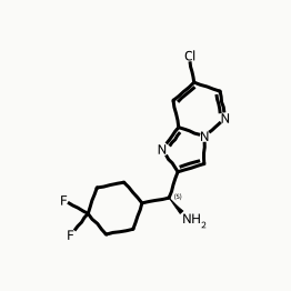 N[C@H](c1cn2ncc(Cl)cc2n1)C1CCC(F)(F)CC1